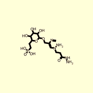 C=N/C(=C\N(N)CCC(=O)NN)COC1OC(CCP(=O)(O)O)C(O)C(O)C1O